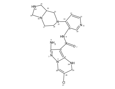 Nc1nn2c(c1C(=O)Nc1cnccc1N1CCN3CNCC3C1)NCC(Cl)=C2